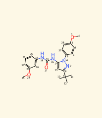 COc1ccc(-n2nc(C(C)(C)C)cc2NC(=O)Nc2cccc(OC)c2)cc1